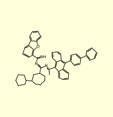 C/C(=N\C(=N/C(=N)c1cccc2c1oc1ccccc12)C1CCCCC(C2CCCCC2)C1)c1c2ccccc2c(-c2ccc(-c3ccccc3)cc2)c2ccccc12